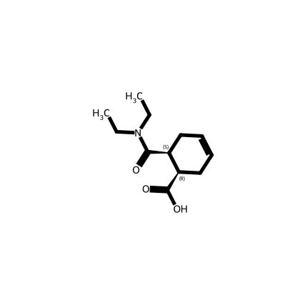 CCN(CC)C(=O)[C@H]1CC=CC[C@H]1C(=O)O